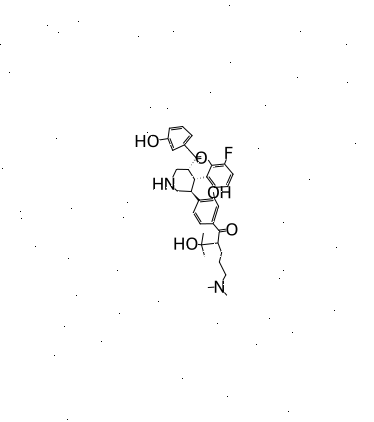 Cc1c(F)cccc1[C@H]1[C@@H](C(=O)c2cccc(O)c2)CNC[C@@H]1c1ccc(C(=O)C(CCCN(C)C)C(C)(C)O)cc1O